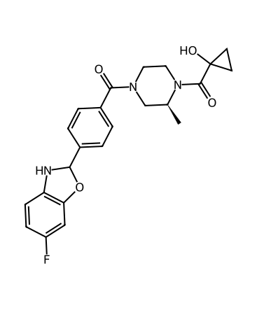 C[C@H]1CN(C(=O)c2ccc(C3Nc4ccc(F)cc4O3)cc2)CCN1C(=O)C1(O)CC1